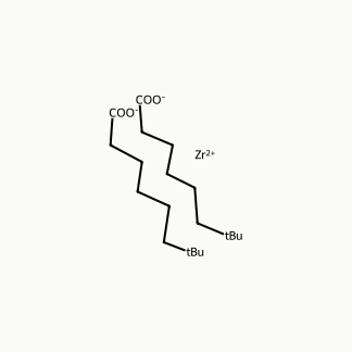 CC(C)(C)CCCCCC(=O)[O-].CC(C)(C)CCCCCC(=O)[O-].[Zr+2]